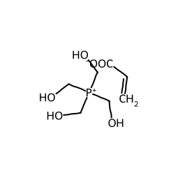 C=CC(=O)[O-].OC[P+](CO)(CO)CO